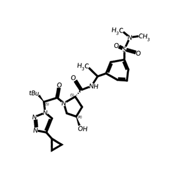 CC(NC(=O)[C@@H]1C[C@@H](O)CN1C(=O)[C@@H](n1cc(C2CC2)nn1)C(C)(C)C)c1cccc(S(=O)(=O)N(C)C)c1